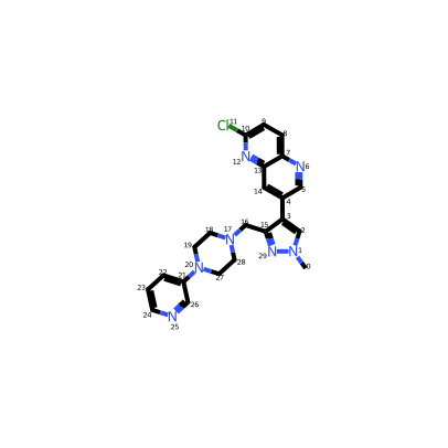 Cn1cc(-c2cnc3ccc(Cl)nc3c2)c(CN2CCN(c3cccnc3)CC2)n1